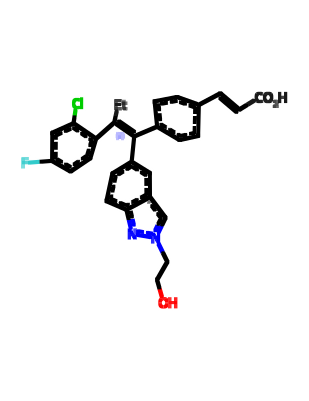 CC/C(=C(\c1ccc(C=CC(=O)O)cc1)c1ccc2nn(CCO)cc2c1)c1ccc(F)cc1Cl